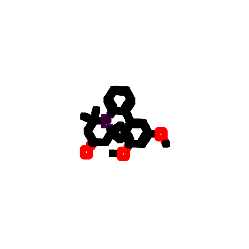 COc1cc(OC)cc(-c2ccccc2P2C(C)(C)CC(=O)CC2(C)C)c1